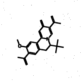 C=C(C)C1=CN2C(=CC1=C)c1cc(OC)c(C(=C)C)cc1CC2C(C)(C)C